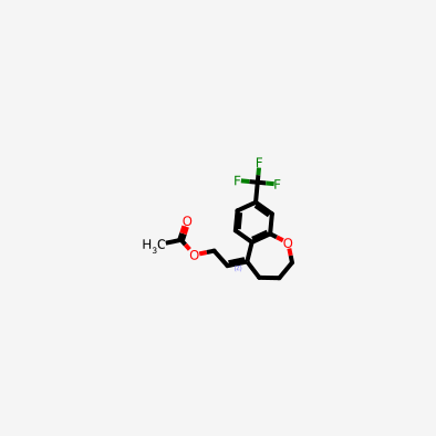 CC(=O)OC/C=C1/CCCOc2cc(C(F)(F)F)ccc21